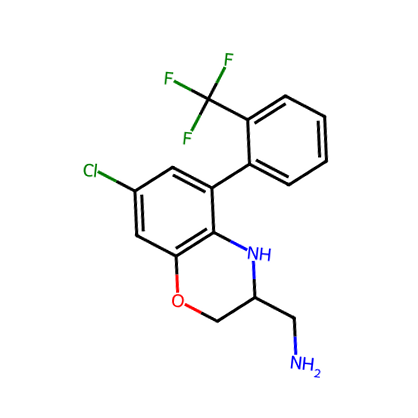 NCC1COc2cc(Cl)cc(-c3ccccc3C(F)(F)F)c2N1